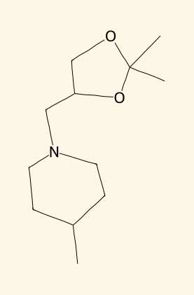 CC1CCN(CC2COC(C)(C)O2)CC1